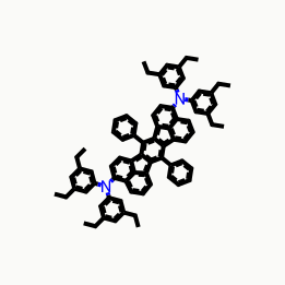 CCc1cc(CC)cc(N(c2cc(CC)cc(CC)c2)c2ccc3c4c(-c5ccccc5)c5c6ccc(N(c7cc(CC)cc(CC)c7)c7cc(CC)cc(CC)c7)c7cccc(c5c(-c5ccccc5)c4c4cccc2c43)c76)c1